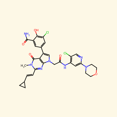 Cn1c(C=CC2CC2)nc2c(c(-c3cc(Cl)c(O)c(C(N)=O)c3)cn2CC(=O)Nc2cc(N3CCOCC3)ncc2Cl)c1=O